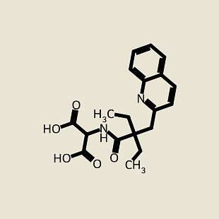 CCC(CC)(Cc1ccc2ccccc2n1)C(=O)NC(C(=O)O)C(=O)O